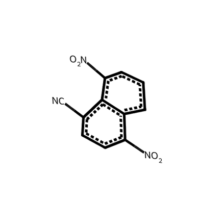 N#Cc1ccc([N+](=O)[O-])c2cccc([N+](=O)[O-])c12